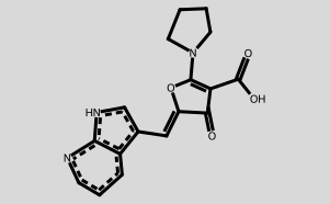 O=C(O)C1=C(N2CCCC2)OC(=Cc2c[nH]c3ncccc23)C1=O